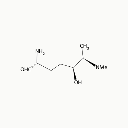 CN[C@H](C)[C@@H](O)CC[C@@H](N)C=O